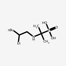 CCCCC(CC)CNC(C)(C)P(=O)(O)O